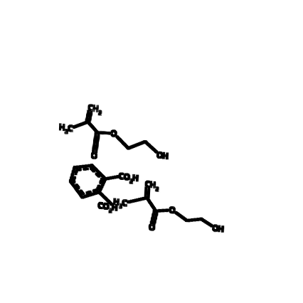 C=C(C)C(=O)OCCO.C=C(C)C(=O)OCCO.O=C(O)c1ccccc1C(=O)O